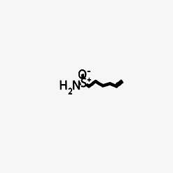 C=CCCCC[S+](N)[O-]